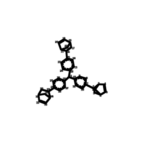 C1=CC2CC1CC2c1ccc(C(c2ccc(C3CC4C=CC3C4)cc2)c2ccc(C3CC4C=CC3C4)cc2)cc1